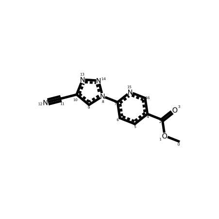 COC(=O)c1ccc(-n2cc(C#N)nn2)nc1